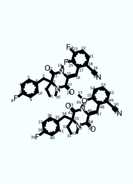 CCC1(Cc2ccc(F)cc2)C(=O)N(C)C(=Cc2c(C#N)ccc(F)c2F)C(=O)N1C.CCC1(Cc2ccc(F)cc2)C(=O)N(C)C(=Cc2c(C#N)cccc2OC)C(=O)N1C